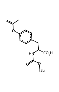 C=C(C)Oc1ccc(CC(NC(=O)OC(C)(C)C)C(=O)O)cc1